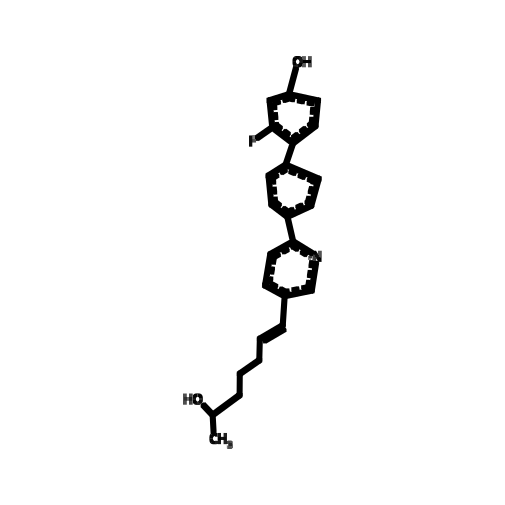 CC(O)CCC/C=C/c1ccc(-c2ccc(-c3ccc(O)cc3F)cc2)nc1